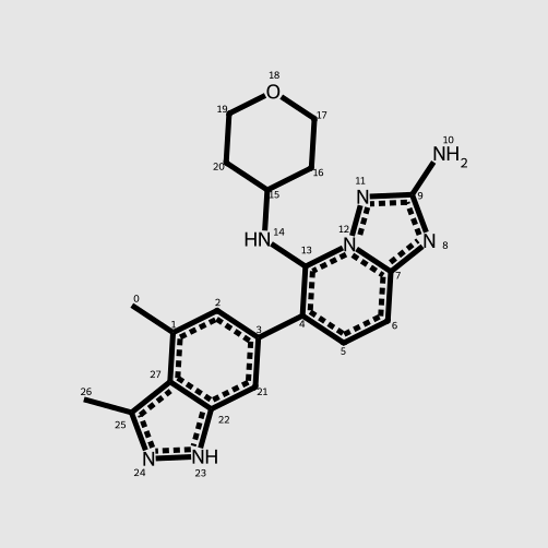 Cc1cc(-c2ccc3nc(N)nn3c2NC2CCOCC2)cc2[nH]nc(C)c12